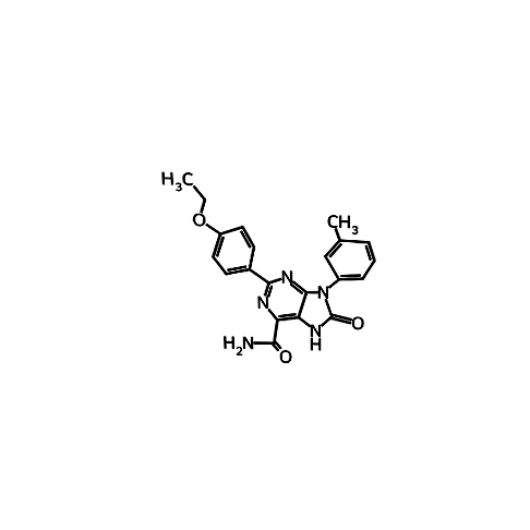 CCOc1ccc(-c2nc(C(N)=O)c3[nH]c(=O)n(-c4cccc(C)c4)c3n2)cc1